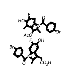 CC(=O)Oc1c(C)n(C(=O)c2ccc(Br)cc2)c2cc(F)c(O)c(C)c12.Cc1c(CC(=O)O)c2cc(O)c(F)cc2n1C(=O)c1ccc(Br)cc1